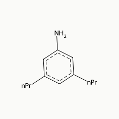 CCCc1cc(N)cc(CCC)c1